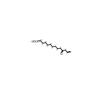 C=CCC(=O)CCCCCCCCCCCCCCCCC